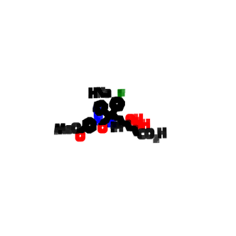 COC(=O)c1ccc(NC(=O)c2c(-c3ccccc3)c(-c3ccc(F)cc3)c(C=CC(O)CC(O)CC(=O)O)n2C(C)C)cc1.[NaH]